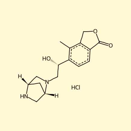 Cc1c([C@@H](O)CN2C[C@@H]3C[C@H]2CN3)ccc2c1COC2=O.Cl